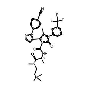 Cc1c(-c2ccnn2-c2ccc(C#N)cc2)n(C(=O)N[C@@H](C)C(=O)N(C)CC[N+](C)(C)C)c(=O)n1-c1cccc(C(F)(F)F)c1